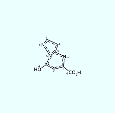 O=C(O)c1cc(O)n2nccc2n1